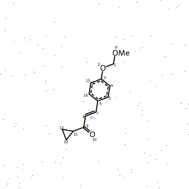 COCOc1ccc(/C=C/C(=O)C2CC2)cc1